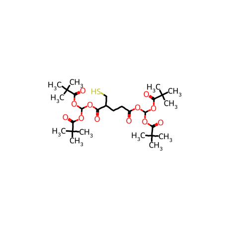 CC(C)(C)C(=O)OC(OC(=O)CCC(CS)C(=O)OC(OC(=O)C(C)(C)C)OC(=O)C(C)(C)C)OC(=O)C(C)(C)C